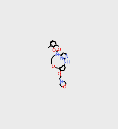 Cc1c#ccc(C)c1OC(=O)N1CCCCOCc2cc(ccc2OCCN2CCOCC2)Nc2nccc1n2